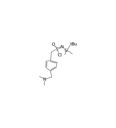 CN(C)Cc1ccc(CS(=O)(Cl)=N[Si](C)(C)C(C)(C)C)cc1